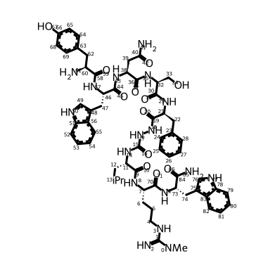 CNC(=N)NCCC[C@H](NC(=O)[C@H](CC(C)C)NC(=O)NNC(=O)[C@H](Cc1ccccc1)NC(=O)[C@H](CO)NC(=O)[C@H](CC(N)=O)NC(=O)[C@H](Cc1c[nH]c2ccccc12)NC(=O)[C@@H](N)Cc1ccc(O)cc1)C(=O)N[C@@H](Cc1c[nH]c2ccccc12)C(N)=O